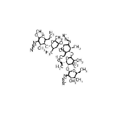 CCC1O[C@H](O[C@@H]2C(C)O[C@@H](O[C@@H]3C(CC)O[C@H](OC)C(N=[N+]=[N-])[C@H]3C)C(C)[C@H]2C)C(N=[N+]=[N-])[C@@H](C)[C@@H]1O[C@@H]1O[C@@H](C(C)=O)[C@@H](O[C@H]2O[C@@H](CC)[C@@H](C)[C@H](C)C2N=[N+]=[N-])[C@H](C)C1C